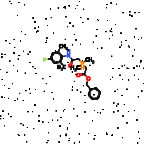 Cc1cc(F)cc(C)c1NC(=O)C[PH](C)(C)CC(=O)OCc1ccccc1